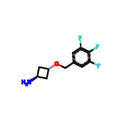 N[C@H]1C[C@H](OCc2cc(F)c(F)c(F)c2)C1